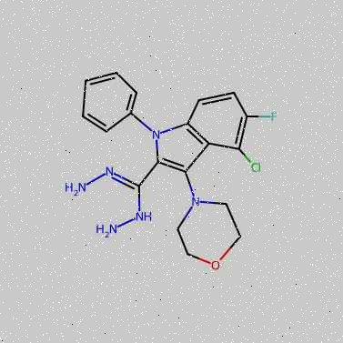 N/N=C(\NN)c1c(N2CCOCC2)c2c(Cl)c(F)ccc2n1-c1ccccc1